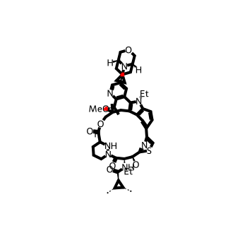 CCO[C@@H]1c2nc(cs2)-c2ccc3c(c2)c(c(-c2cc([C@@H]4C[C@H]5COC[C@@H](C4)N5C4CC4)cnc2[C@H](C)OC)n3CC)CC(C)(C)COC(=O)[C@@H]2CCCN(N2)C(=O)[C@H]1NC(=O)[C@H]1[C@H](C)[C@@H]1C